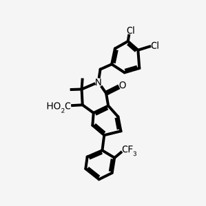 CC1(C)C(C(=O)O)c2cc(-c3ccccc3C(F)(F)F)ccc2C(=O)N1Cc1ccc(Cl)c(Cl)c1